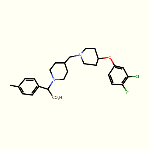 Cc1ccc(C(C(=O)O)N2CCC(CN3CCC(Oc4ccc(Cl)c(Cl)c4)CC3)CC2)cc1